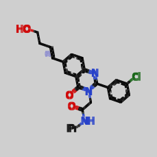 CC(C)NC(=O)Cn1c(-c2cccc(Cl)c2)nc2ccc(/C=C/CCO)cc2c1=O